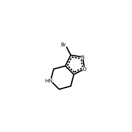 Brc1noc2c1CNCC2